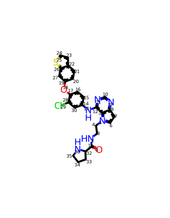 O=C(NCCn1ccc2ncnc(Nc3ccc(Oc4ccc5ccsc5c4)c(Cl)c3)c21)C1CCCN1